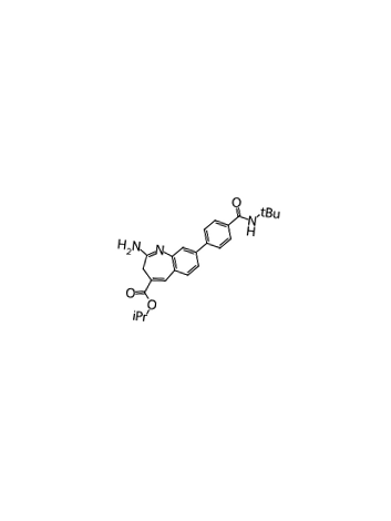 CC(C)OC(=O)C1=Cc2ccc(-c3ccc(C(=O)NC(C)(C)C)cc3)cc2N=C(N)C1